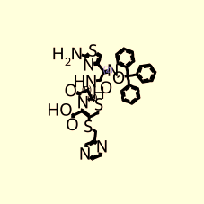 Nc1nc(/C(=N/OC(c2ccccc2)(c2ccccc2)c2ccccc2)C(=O)N[C@@H]2C(=O)N3C(C(=O)O)=C(SCc4cnccn4)CS[C@H]23)cs1